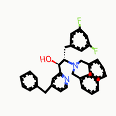 O[C@H](c1cc(Cc2ccccc2)ccn1)[C@H](Cc1cc(F)cc(F)c1)N(Cc1ccccc1)Cc1ccccc1